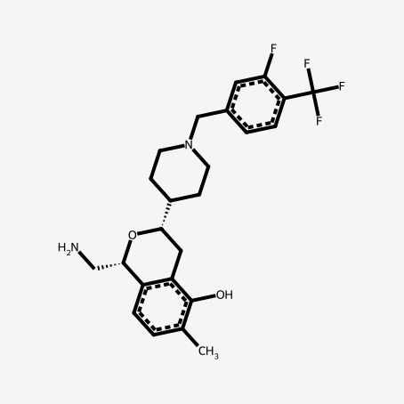 Cc1ccc2c(c1O)C[C@@H](C1CCN(Cc3ccc(C(F)(F)F)c(F)c3)CC1)O[C@H]2CN